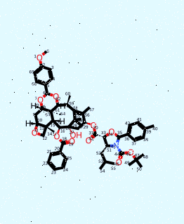 COc1ccc(C2O[C@H]3C[C@H]4OC[C@@]4(C)[C@H]4[C@H](OC(=O)c5ccccc5)[C@]5(O)C[C@H](OC(=O)[C@@H]6OC(c7ccc(C)cc7)N(C(=O)OC(C)(C)C)[C@H]6CC(C)C)C(C)=C([C@H](C)[C@H](O2)[C@]34C)C5(C)C)cc1